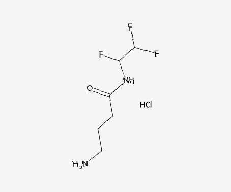 Cl.NCCCC(=O)NC(F)C(F)F